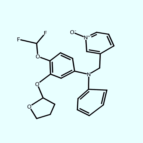 [O-][n+]1cccc(CN(c2ccccc2)c2ccc(OC(F)F)c(OC3CCCO3)c2)c1